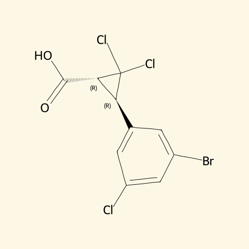 O=C(O)[C@H]1[C@H](c2cc(Cl)cc(Br)c2)C1(Cl)Cl